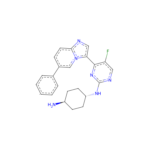 N[C@H]1CC[C@H](Nc2ncc(F)c(-c3cnc4ccc(-c5cc[c]cc5)cn34)n2)CC1